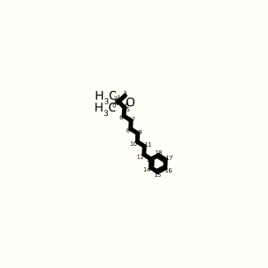 CC1(C)COC1CCCCCCCc1ccccc1